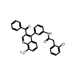 O=C(Cc1ccccc1Cl)Nc1cccc(-c2c(C(=O)c3ccccc3)cnc3c(C(F)(F)F)cccc23)c1